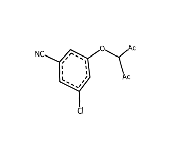 CC(=O)C(Oc1cc(Cl)cc(C#N)c1)C(C)=O